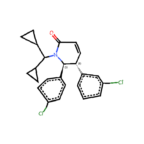 O=C1C=C[C@H](c2cccc(Cl)c2)[C@@H](c2ccc(Cl)cc2)N1C(C1CC1)C1CC1